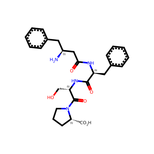 N[C@H](CC(=O)N[C@@H](Cc1ccccc1)C(=O)N[C@@H](CO)C(=O)N1CCC[C@H]1C(=O)O)Cc1ccccc1